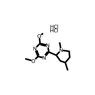 COc1nc(OC)nc(C2CC(C)CCN2C)n1.Cl.Cl